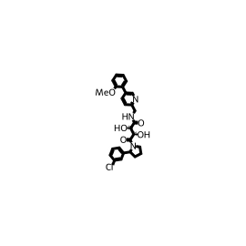 COc1ccccc1-c1ccc(CNC(=O)[C@H](O)[C@@H](O)C(=O)N2CCCC2c2cccc(Cl)c2)nc1